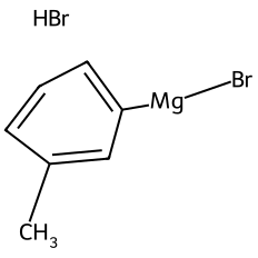 Br.Cc1ccc[c]([Mg][Br])c1